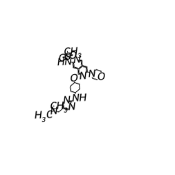 CN(C)Cc1cnc(NC2CCC(Oc3nc(N4CCOCC4)cc4cnc(NS(C)(=O)=O)cc34)CC2)nc1